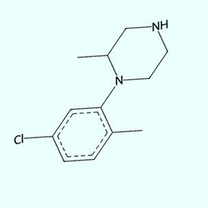 Cc1ccc(Cl)cc1N1CCNCC1C